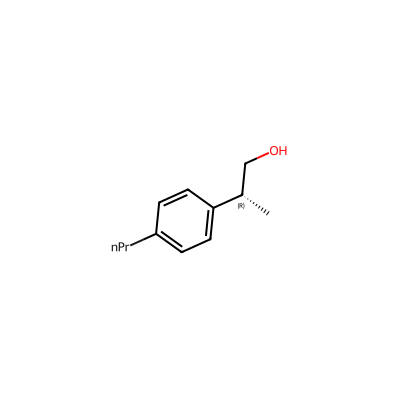 CCCc1ccc([C@@H](C)CO)cc1